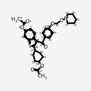 CC(=O)Oc1ccc2c(C(=O)c3ccc(OCCN4CCCCC4)cc3)c(C3CCC(OC(C)=O)CC3)sc2c1